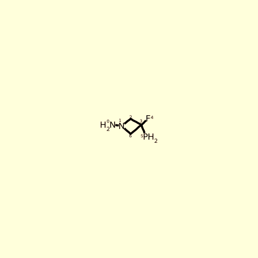 NN1CC(F)(P)C1